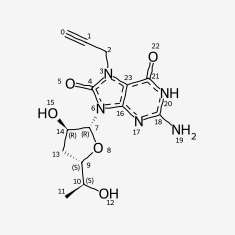 C#CCn1c(=O)n([C@@H]2O[C@H]([C@H](C)O)C[C@H]2O)c2nc(N)[nH]c(=O)c21